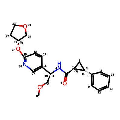 COC[C@H](NC(=O)[C@H]1C[C@@H]1c1ccccc1)c1ccc(O[C@@H]2CCOC2)nc1